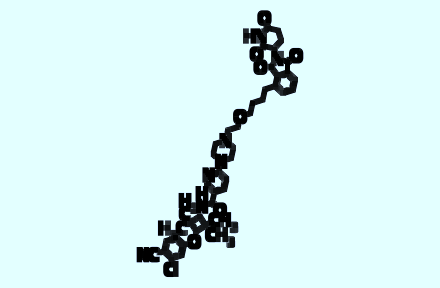 CC1(C)[C@H](NC(=O)c2ccc(N3CCN(CCOCCCCc4cccc5c4C(=O)N(C4CCC(=O)NC4=O)C5=O)CC3)nc2)C(C)(C)[C@H]1Oc1ccc(C#N)c(Cl)c1